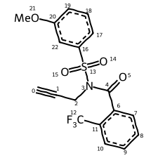 C#CCN(C(=O)c1ccccc1C(F)(F)F)S(=O)(=O)c1cccc(OC)c1